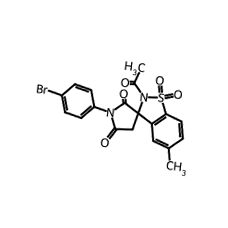 CC(=O)N1C2(CC(=O)N(c3ccc(Br)cc3)C2=O)c2cc(C)ccc2S1(=O)=O